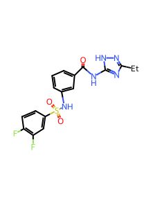 CCc1n[nH]c(NC(=O)c2cccc(NS(=O)(=O)c3ccc(F)c(F)c3)c2)n1